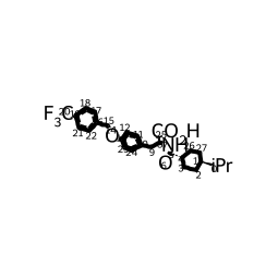 CC(C)[C@H]1CC[C@H](C(=O)N[C@@H](Cc2ccc(OCc3ccc(C(F)(F)F)cc3)cc2)C(=O)O)CC1